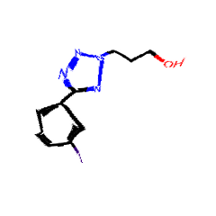 OCCCn1nnc(-c2cccc(I)c2)n1